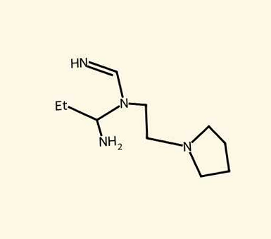 CCC(N)N(C=N)CCN1CCCC1